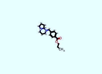 CCCOC(=O)c1ccc(CN2CCCN3CCCC32)cc1